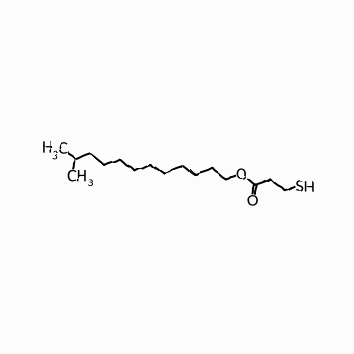 CC(C)CCCCCCCCCCOC(=O)CCS